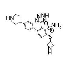 NS(=O)(=O)c1c(SC2CNC2)ccc(-c2ccc(C3CCNCC3)cc2)c1-c1nn[nH]n1